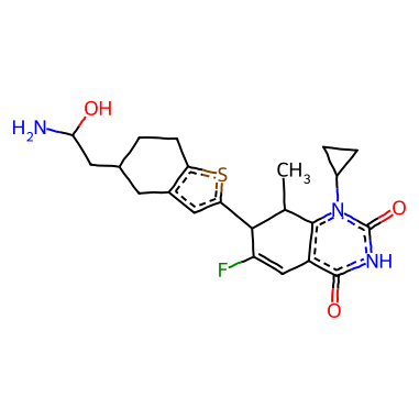 CC1c2c(c(=O)[nH]c(=O)n2C2CC2)C=C(F)C1c1cc2c(s1)CCC(CC(N)O)C2